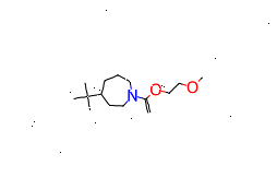 C=C(OCCOC)N1CCCC(C(C)(C)C)CC1